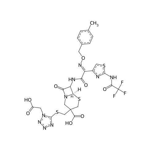 Cc1ccc(CON=C(C(=O)NC2C(=O)N3CC(CSc4nnnn4CC(=O)O)(C(=O)O)CS[C@H]23)c2csc(NC(=O)C(F)(F)F)n2)cc1